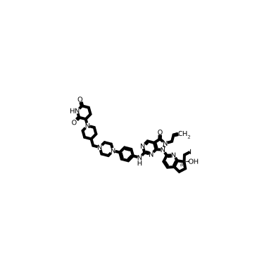 C=CCn1c(=O)c2cnc(Nc3ccc(N4CCN(CC5CCN(C6CCC(=O)NC6=O)CC5)CC4)cc3)nc2n1-c1ccc2c(n1)[C@@](O)(CI)CC2